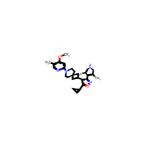 COc1cc(N2CCC3(C=C(c4c(C5=C(C)CNC=C5C)noc4C4CC4)C3)CC2)ncc1C